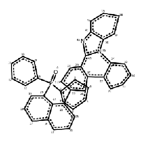 O=P(c1ccccc1)(c1ccccc1)c1cccc2cccc(-c3ccc4c(c3)c3ccccc3n3c5ccccc5nc43)c12